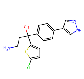 NCCC(O)(c1ccc(-c2cn[nH]c2)cc1)c1ccc(Cl)s1